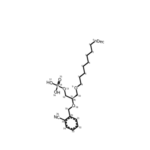 CCCCCCCCCCCCCCCCCCOC[C@H](COP(=O)(O)O)OCc1ccccc1C#N